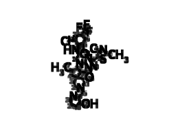 Cc1nc(C)c(-c2nc3n(CC(=O)Nc4ccc(C(F)(F)F)cc4Cl)c4c(c(=O)n3n2)C2(CCN(Cc3ncccc3O)CC2)CC4C)s1